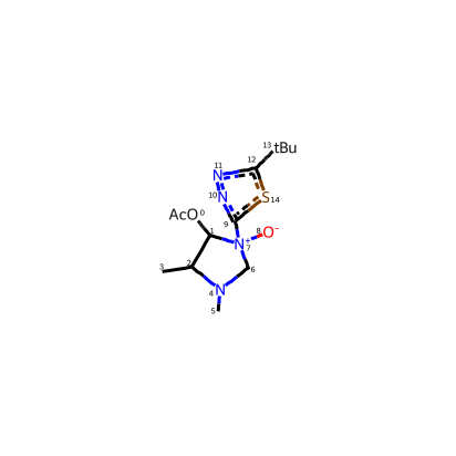 CC(=O)OC1C(C)N(C)C[N+]1([O-])c1nnc(C(C)(C)C)s1